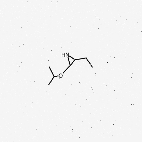 CCC1NC1OC(C)C